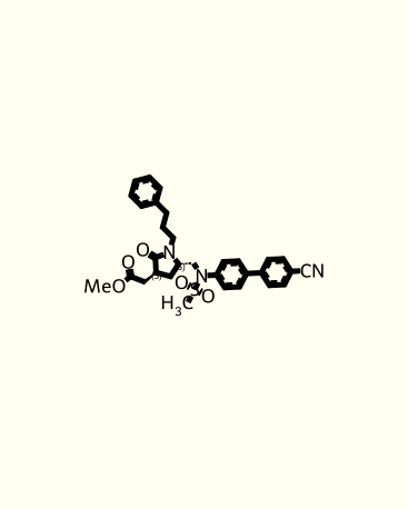 COC(=O)C[C@@H]1C[C@@H](CN(c2ccc(-c3ccc(C#N)cc3)cc2)S(C)(=O)=O)N(CCCc2ccccc2)C1=O